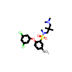 CN(C)CC(C)(C)CN(C)S(=O)(=O)c1cc([N+](=O)[O-])ccc1Oc1cc(Cl)cc(Cl)c1